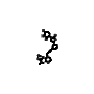 CN(C[C@@H]1CN(CC#Cc2cccc([C@H]3CN(C4CCC(=O)NC4=O)C(=O)O3)c2)CCO1)C(=O)OC(C)(C)C